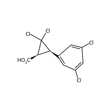 O=C(O)[C@@H]1[C@H](c2cc(Cl)cc(Cl)c2)C1(Cl)Cl